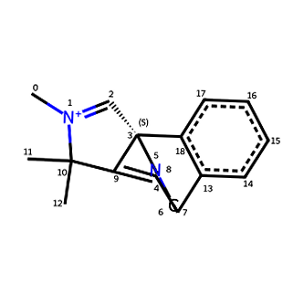 C[N+]1=C[C@]23C=NCC(C=C2C1(C)C)c1ccccc13